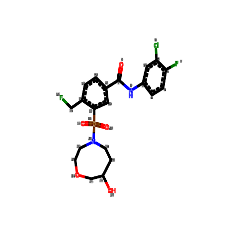 O=C(Nc1ccc(F)c(Cl)c1)c1ccc(CF)c(S(=O)(=O)N2CCOCC(O)CC2)c1